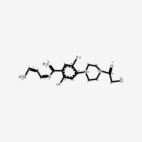 C=C(/N=C\C=C/N)c1cc(F)c(N2CCN(C(=O)CCl)CC2)cc1F